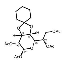 CC(=O)OC[C@@H](OC(C)=O)[C@@H]1O[C@@H](OC(C)=O)[C@H](OC(C)=O)[C@@H]2OC3(CCCCC3)O[C@@H]21